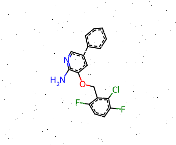 Nc1ncc(-c2ccccc2)cc1OCc1c(F)ccc(F)c1Cl